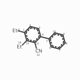 CCc1ccc(-c2ccccc2)c(C#N)c1CC